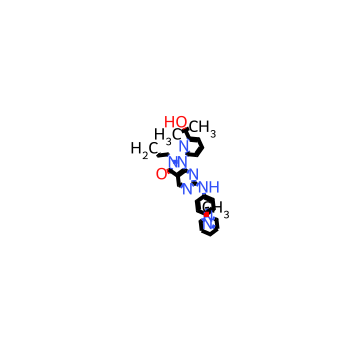 C=CCn1c(=O)c2cnc(Nc3ccc(N4C5CC4CN(C)C5)cc3)nc2n1-c1cccc(C(C)(C)O)n1